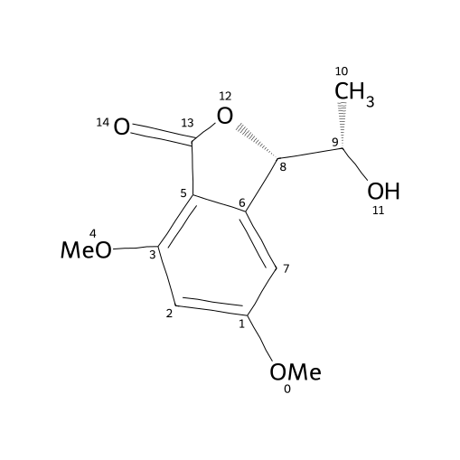 COc1cc(OC)c2c(c1)[C@@H]([C@H](C)O)OC2=O